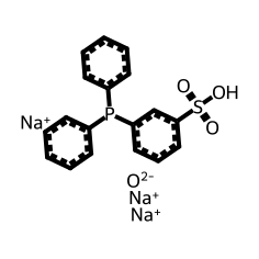 O=S(=O)(O)c1cccc(P(c2ccccc2)c2ccccc2)c1.[Na+].[Na+].[Na+].[O-2]